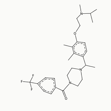 Cc1c(OCCN(C)C(C)C)ccc(C(C)N2CCN(C(=O)c3ccc(C(F)(F)F)cc3)CC2)c1C